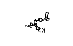 N#Cc1cccc(-n2c3ccc(C#N)cc3c3cc(-c4ccc(-n5c6ccccc6c6ccccc65)cc4)ccc32)c1